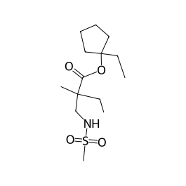 CCC1(OC(=O)C(C)(CC)CNS(C)(=O)=O)CCCC1